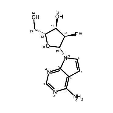 Nc1ncnc2c1ccn2[C@@H]1O[C@H](CO)[C@@H](O)[C@H]1F